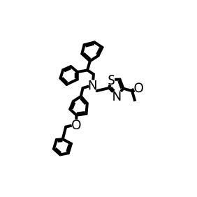 CC(=O)c1csc(CN(Cc2ccc(OCc3ccccc3)cc2)CC(c2ccccc2)c2ccccc2)n1